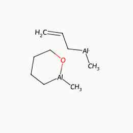 C=C[CH2][Al][CH3].[CH3][Al]1[CH2]CCC[O]1